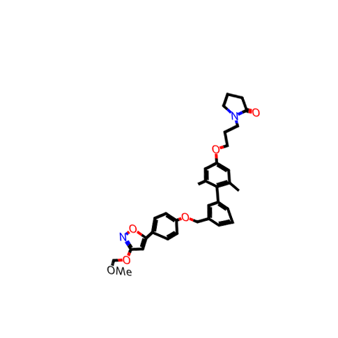 COCOc1cc(-c2ccc(OCc3cccc(-c4c(C)cc(OCCCN5CCCC5=O)cc4C)c3)cc2)on1